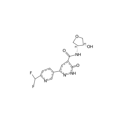 O=C(N[C@@H]1COC[C@@H]1O)c1cc(-c2ccc(C(F)F)nc2)n[nH]c1=O